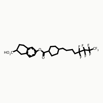 O=C(O)C1CCc2cc(OC(=O)C3CCC(CCCCC(F)(F)C(F)(F)C(F)(F)C(F)(F)F)CC3)ccc2C1